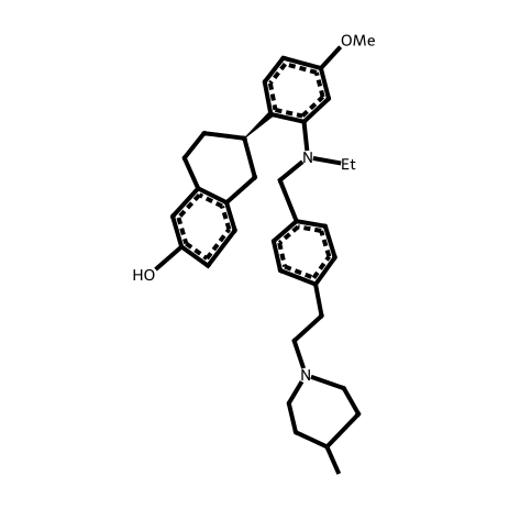 CCN(Cc1ccc(CCN2CCC(C)CC2)cc1)c1cc(OC)ccc1[C@@H]1CCc2cc(O)ccc2C1